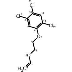 C=COCCOc1cc(Cl)c(Cl)cc1Cl